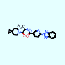 C[C@H](NC(=O)c1ccc(-n2nc3ccccc3n2)nc1)C(=O)N1CCC2(CC1)CC2